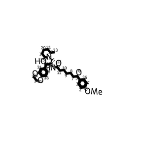 COc1ccc(C(=O)CCCCCC(=O)N[C@H](CN2CCCCC2C)[C@H](O)c2ccc3c(c2)OCCO3)cc1